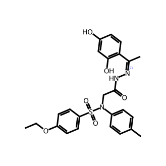 CCOc1ccc(S(=O)(=O)N(CC(=O)N/N=C(/C)c2ccc(O)cc2O)c2ccc(C)cc2)cc1